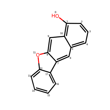 Oc1cccc2cc3c(cc12)oc1ccccc13